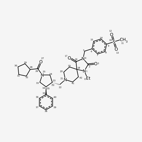 CCN1C(=O)N(Cc2ccc(S(C)(=O)=O)cc2)C(=O)C12CCN(C[C@H]1CN(C(=O)C3CCCC3)C[C@@H]1c1ccccc1)CC2